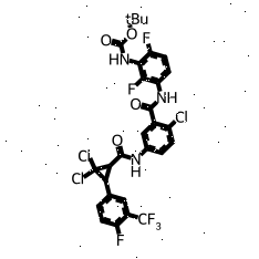 CC(C)(C)OC(=O)Nc1c(F)ccc(NC(=O)c2cc(NC(=O)C3C(c4ccc(F)c(C(F)(F)F)c4)C3(Cl)Cl)ccc2Cl)c1F